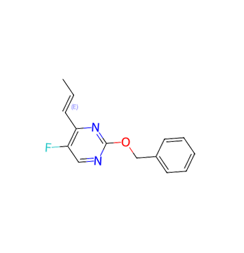 C/C=C/c1nc(OCc2ccccc2)ncc1F